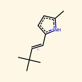 Cc1ccc(/C=C/C(C)(C)C)[nH]1